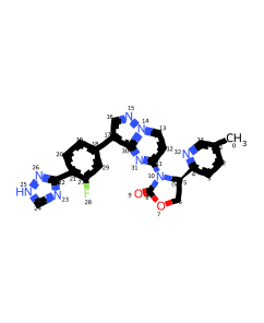 Cc1ccc([C@H]2COC(=O)N2c2ccn3ncc(-c4ccc(-c5nc[nH]n5)c(F)c4)c3n2)nc1